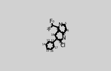 FC(F)c1nccc2nc(Cl)c(-c3ccccc3)cc12